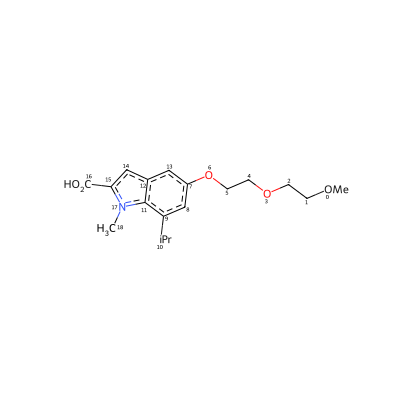 COCCOCCOc1cc(C(C)C)c2c(c1)cc(C(=O)O)n2C